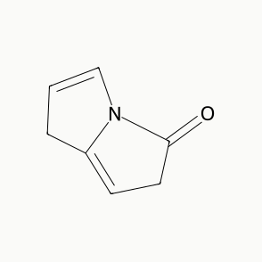 O=C1CC=C2CC=CN12